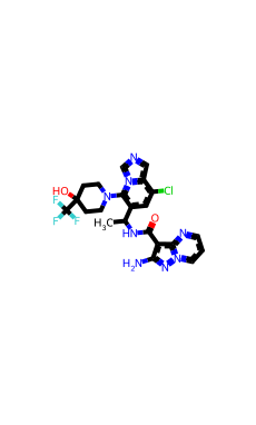 CC(NC(=O)c1c(N)nn2cccnc12)c1cc(Cl)c2cncn2c1N1CCC(O)(C(F)(F)F)CC1